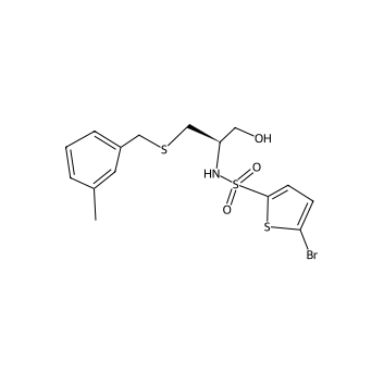 Cc1cccc(CSC[C@@H](CO)NS(=O)(=O)c2ccc(Br)s2)c1